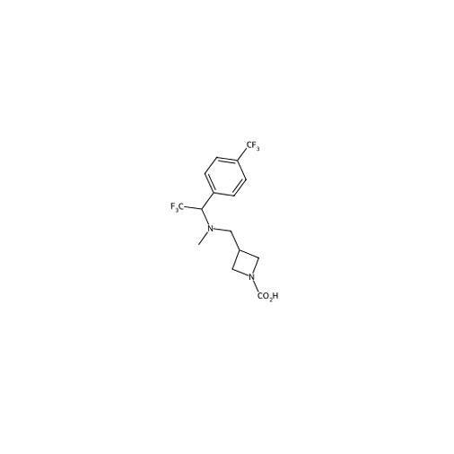 CN(CC1CN(C(=O)O)C1)C(c1ccc(C(F)(F)F)cc1)C(F)(F)F